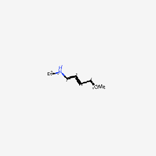 CCNCC=CCOC